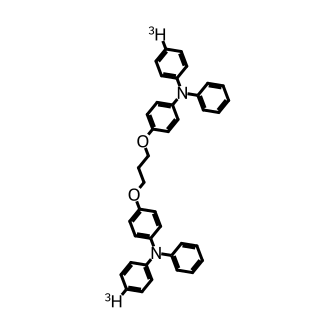 [3H]c1ccc(N(c2ccccc2)c2ccc(OCCCOc3ccc(N(c4ccccc4)c4ccc([3H])cc4)cc3)cc2)cc1